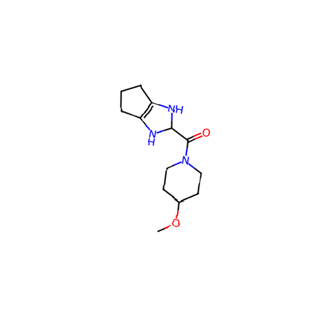 COC1CCN(C(=O)C2NC3=C(CCC3)N2)CC1